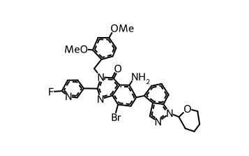 COc1ccc(Cn2c(-c3ccc(F)nc3)nc3c(Br)cc(-c4cccc5c4cnn5C4CCCCO4)c(N)c3c2=O)c(OC)c1